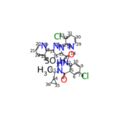 CC(NC(=O)c1cc(Cl)ccc1NC(=O)C1CC(c2ncccc2S(=O)(=O)O)=NN1c1ncccc1Cl)C1CC1